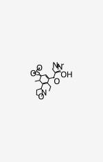 CCC1=C(C2=NOCC2)C(C)C(=S(=O)=O)C=C1C(=O)c1cnn(C)c1O